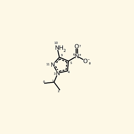 CC(C)n1cc([N+](=O)[O-])c(N)n1